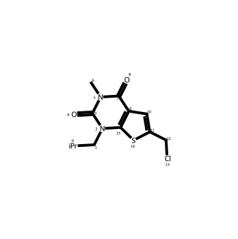 CC(C)Cn1c(=O)n(C)c(=O)c2cc(CCl)sc21